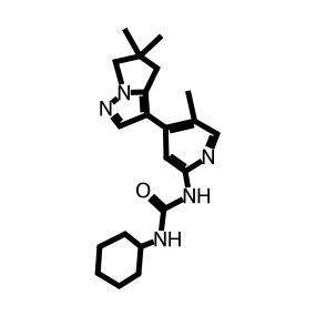 Cc1cnc(NC(=O)NC2CCCCC2)cc1-c1cnn2c1CC(C)(C)C2